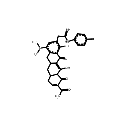 CN(C)c1cc(CC(=N)Nc2ccc(F)cc2)c(N=O)c2c1CC1CC3CC=C(C(N)=O)C(=O)C3C(O)=C1C2=O